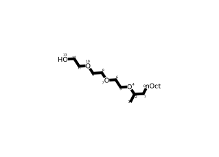 CCCCCCCCCC(C)OCCOCCOCCO